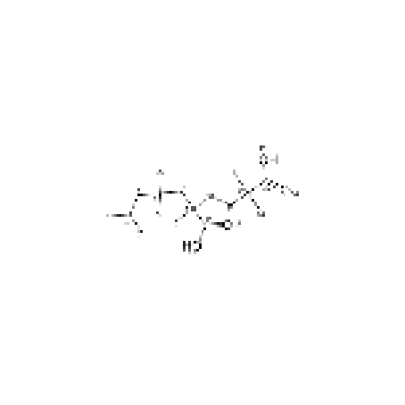 CC(C)CC(C)(C)CC(C)(CCC(C)(C)C(=O)O)C(=O)O